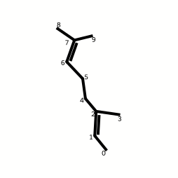 C/C=C(\C)CCC=C(C)C